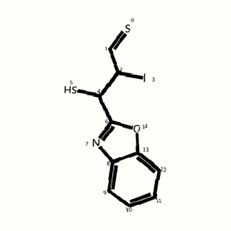 S=CC(I)C(S)c1nc2ccccc2o1